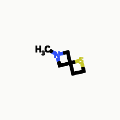 CN1CC2(CCS2)C1